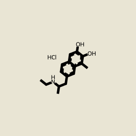 CCNC(C)Cc1ccc2cc(O)c(O)c(C)c2c1.Cl